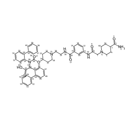 NC(=O)C1CCN(CC(=O)Nc2cccc(C(=O)NCCN3CCC(OC(=O)N(c4ccccc4-c4ccccc4)N(C(=O)O)c4ccccc4-c4ccccc4)CC3)c2)CC1